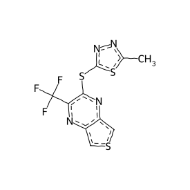 Cc1nnc(Sc2nc3cscc3nc2C(F)(F)F)s1